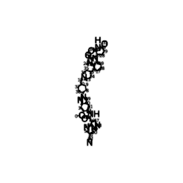 COc1cc2nn([C@H]3CC[C@H](CN4CCC(c5cccc6c5n(C)c(=O)n6C5CCC(=O)NC5=O)CC4)CC3)cc2cc1NC(=O)c1cnn2cc(C#N)cnc12